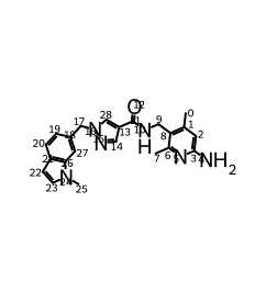 Cc1cc(N)nc(C)c1CNC(=O)c1cnn(Cc2ccc3ccn(C)c3c2)c1